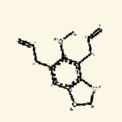 C=CCc1cc2c(c(CC=C)c1OC)OCO2